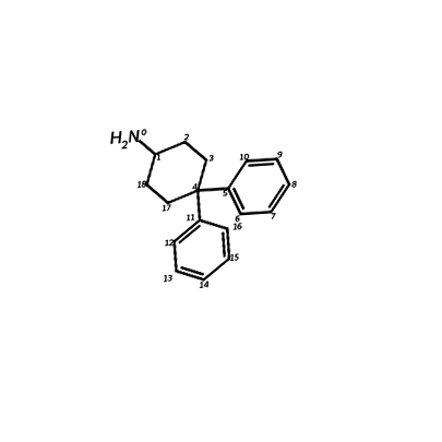 NC1CCC(c2ccccc2)(c2ccccc2)CC1